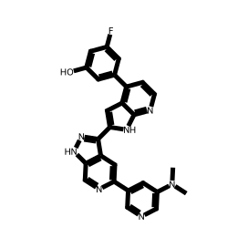 CN(C)c1cncc(-c2cc3c(-c4cc5c(-c6cc(O)cc(F)c6)ccnc5[nH]4)n[nH]c3cn2)c1